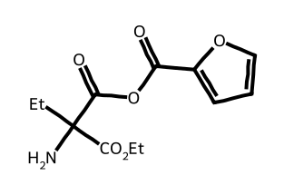 CCOC(=O)C(N)(CC)C(=O)OC(=O)c1ccco1